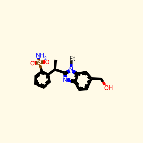 CCn1c(C(C)c2ccccc2S(N)(=O)=O)nc2ccc(CO)cc21